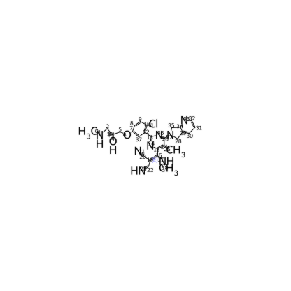 CNC[C@@H](O)COc1ccc(Cl)c(-c2nc(/C(NC)=C(\C#N)C=N)c(C)c(N3Cc4cccnc4C3)n2)c1